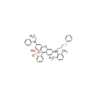 CCN(c1ccccc1)c1ccc2c(-c3ccccc3S(=O)(=O)O)c3cc/c(=[N+](/CCCSc4ccccc4)c4c(C)cccc4C)cc-3oc2c1